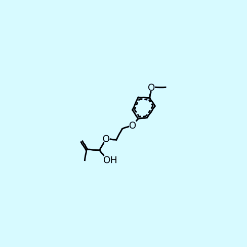 C=C(C)C(O)OCCOc1ccc(OC)cc1